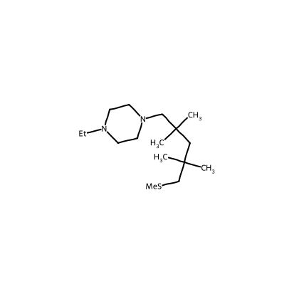 CCN1CCN(CC(C)(C)CC(C)(C)CSC)CC1